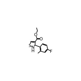 CCOC(=O)C1=CSNC1c1ccc(F)cc1C